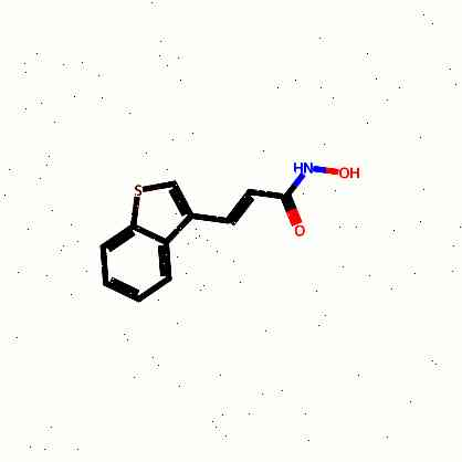 O=C(/C=C/c1csc2ccccc12)NO